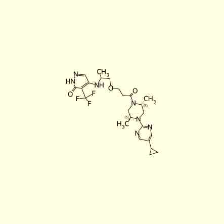 CC(COCCC(=O)N1C[C@H](C)N(c2ncc(C3CC3)cn2)C[C@H]1C)Nc1cn[nH]c(=O)c1C(F)(F)F